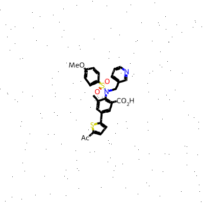 COc1ccc(S(=O)(=O)N(Cc2cccnc2)c2c(C)cc(-c3ccc(C(C)=O)s3)cc2C(=O)O)cc1